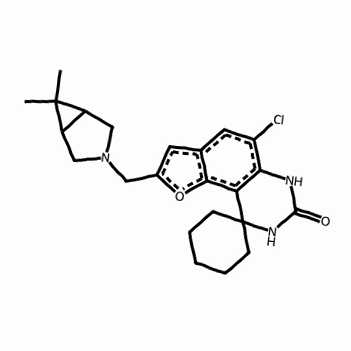 CC1(C)C2CN(Cc3cc4cc(Cl)c5c(c4o3)C3(CCCCC3)NC(=O)N5)CC21